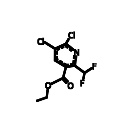 CCOC(=O)c1cc(Cl)c(Cl)nc1C(F)F